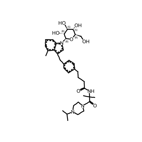 Cc1cccc2c1c(Cc1ccc(CCCC(=O)NC(C)(C)C(=O)N3CCN(C(C)C)CC3)cc1)cn2[C@@H]1O[C@H](CO)[C@@H](O)[C@H](O)[C@H]1O